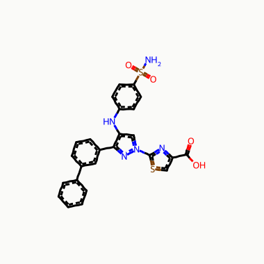 NS(=O)(=O)c1ccc(Nc2cn(-c3nc(C(=O)O)cs3)nc2-c2cccc(-c3ccccc3)c2)cc1